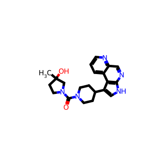 CC1(O)CCN(C(=O)N2CCC(c3c[nH]c4ncc5ncccc5c34)CC2)C1